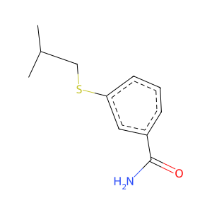 CC(C)CSc1cccc(C(N)=O)c1